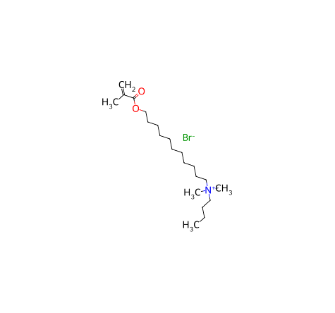 C=C(C)C(=O)OCCCCCCCCCCC[N+](C)(C)CCCC.[Br-]